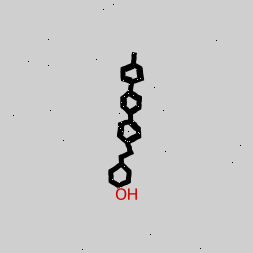 Cc1ccc(-c2ccc(-c3ccc(CCC4CCC(O)CC4)cc3)cc2)cc1